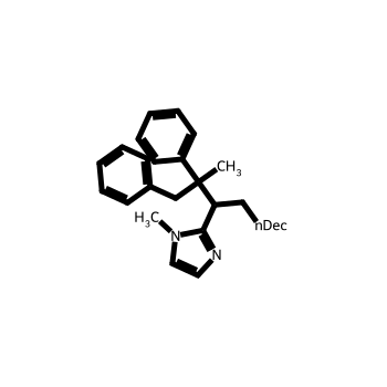 CCCCCCCCCCCC(c1nccn1C)C(C)(Cc1ccccc1)c1ccccc1